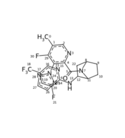 Cc1cnc(C(=O)N2C3CCC2C(Nc2ncc(C(F)(F)F)cc2F)C3)c(-n2nccn2)c1F